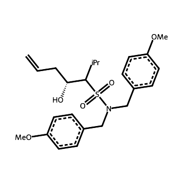 C=CC[C@@H](O)C(C(C)C)S(=O)(=O)N(Cc1ccc(OC)cc1)Cc1ccc(OC)cc1